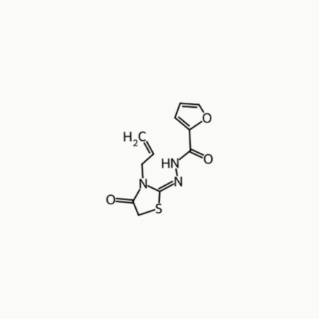 C=CCN1C(=O)CS/C1=N/NC(=O)c1ccco1